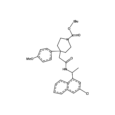 COc1ccc(C2(CC(=O)NC(C)c3cc(Cl)cc4ccccc34)CCN(C(=O)OC(C)(C)C)CC2)cc1